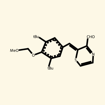 COCOc1c(C(C)(C)C)cc(C=C2SC=CN=C2C=O)cc1C(C)(C)C